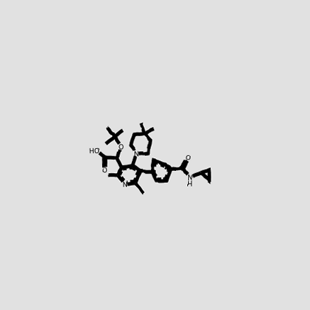 Cc1nc(C)c(C(OC(C)(C)C)C(=O)O)c(N2CCC(C)(C)CC2)c1-c1ccc(C(=O)NC2CC2)cc1